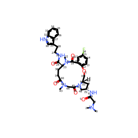 CN(C)CC(=O)N[C@H]1C[C@H]2COc3ccc(F)cc3C(=O)N(C)[C@H](C(=O)NCCc3c[nH]c4ccccc34)CCC(=O)N(C)CC(=O)N2C1